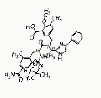 COc1c(C)cc(CN(C(=O)[C@H](Cc2c(C)cc(C(N)=O)cc2C)NC(=O)OC(C)(C)C)[C@@H](C)c2nc(-c3ccccc3)c[nH]2)cc1C(=O)O